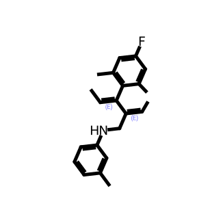 C/C=C(CNc1cccc(C)c1)\C(=C\C)c1c(C)cc(F)cc1C